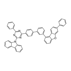 c1ccc(-c2ccc3c(c2)oc2cccc(-c4cccc(-c5ccc(-c6nc(-c7ccccc7)nc(-n7c8ccccc8c8ccccc87)n6)cc5)c4)c23)cc1